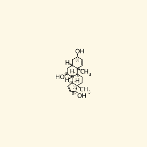 C[C@]12C=C[C@H](O)C[C@H]1C[C@H](O)[C@@H]1[C@@H]2CC[C@]2(C)[C@@H](O)C=C[C@@H]12